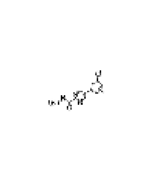 CN(C(=O)c1ncc(-c2cncc(Cl)c2)cn1)C(C)(C)C